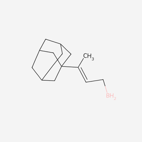 BC/C=C(\C)C12CC3CC(CC(C3)C1)C2